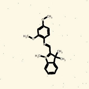 COc1ccc(N=CC2=[N+](C)c3ccccc3C2(C)C)c(OC)c1